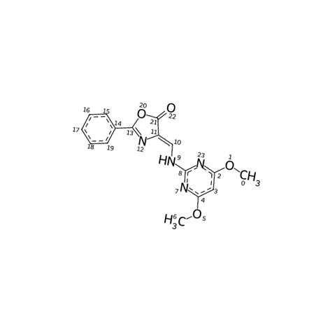 COc1cc(OC)nc(NC=C2N=C(c3ccccc3)OC2=O)n1